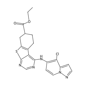 CCOC(=O)C1CCc2c(sc3ncnc(Nc4ccn5nccc5c4Cl)c23)C1